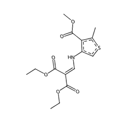 CCOC(=O)C(=CNc1csc(C)c1C(=O)OC)C(=O)OCC